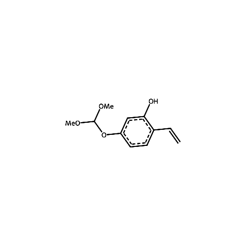 C=Cc1ccc(OC(OC)OC)cc1O